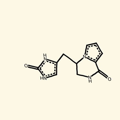 O=C1NCC(Cc2c[nH]c(=O)[nH]2)n2cccc21